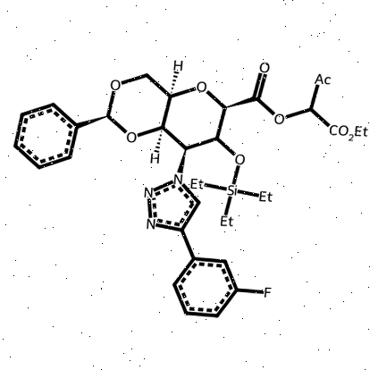 CCOC(=O)C(OC(=O)[C@@H]1O[C@@H]2CO[C@H](c3ccccc3)O[C@@H]2[C@H](n2cc(-c3cccc(F)c3)nn2)C1O[Si](CC)(CC)CC)C(C)=O